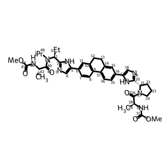 CC[C@@H](c1ncc(-c2ccc3c(c2)CCc2cc(-c4cnc([C@@H]5CCCN5C(=O)[C@H](C)NC(=O)OC)[nH]4)ccc2-3)[nH]1)N(C(=O)[C@H](C)NC(=O)OC)C(C)C